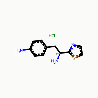 Cl.Nc1ccc(C[C@H](N)c2nccs2)cc1